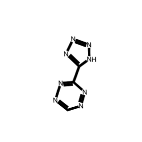 c1nnc(-c2nnn[nH]2)nn1